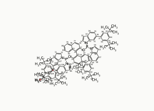 CC(C)(C)c1cc(-c2ccc3ccn(P(Oc4ccc5ccccc5c4-c4c(OP(n5ccc6ccc(-c7cc(C(C)(C)C)cc(C(C)(C)C)c7)cc65)n5ccc6ccc(-c7cc(C(C)(C)C)cc(C(C)(C)C)c7)cc65)ccc5ccccc45)n4ccc5ccc(-c6cc(C(C)(C)C)cc(C(C)(C)C)c6)cc54)c3c2)cc(C(C)(C)C)c1